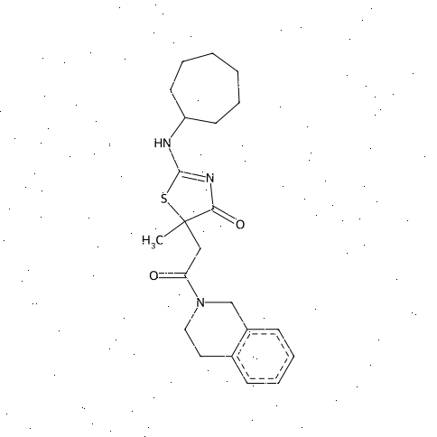 CC1(CC(=O)N2CCc3ccccc3C2)SC(NC2CCCCCC2)=NC1=O